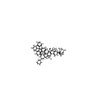 Cc1cc(-c2ccccc2)cc(C)c1N(c1ccc2c(c1)C(C)(C)c1cc(C34CC5CC(CC(C5)C3)C4)ccc1-2)c1ccc2c(c1)C(c1ccccc1)(c1ccccc1)c1ccccc1-2